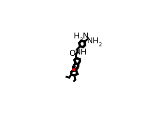 CCc1cc2c(cc1CC)c1oc2c2ccc(C(=O)NCc3ccc(C(N)N)cc3)cc21